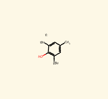 Cc1cc(C(C)(C)C)c(O)c(C(C)(C)C)c1.[K]